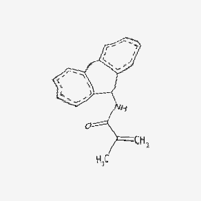 C=C(C)C(=O)NC1c2ccccc2-c2ccccc21